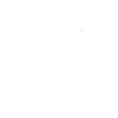 CN1CCN(C(=O)C(N)Cc2ccc(Oc3ccc(CCC(=O)O)cc3)cc2)CC1